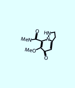 CNC(=O)c1c(OC)c(=O)cc2n1NCC2